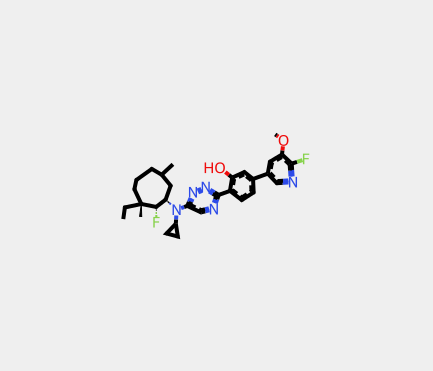 CC[C@]1(C)CCCC(C)C[C@H](N(c2cnc(-c3ccc(-c4cnc(F)c(OC)c4)cc3O)nn2)C2CC2)[C@@H]1F